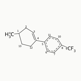 CC1CC=C(c2ccc(C(F)(F)F)cc2)CC1